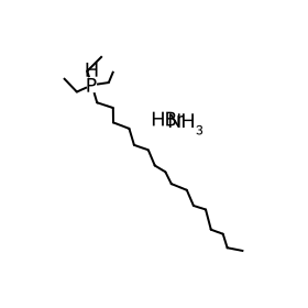 Br.CCCCCCCCCCCCCCCC[PH](CC)(CC)CC.N